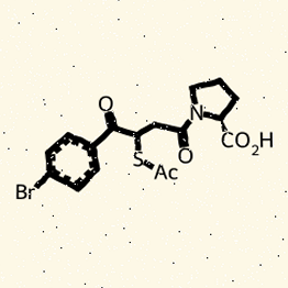 CC(=O)SC(CC(=O)N1CCC[C@H]1C(=O)O)C(=O)c1ccc(Br)cc1